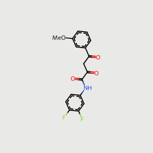 COc1cccc(C(=O)CC(=O)C(=O)Nc2ccc(F)c(F)c2)c1